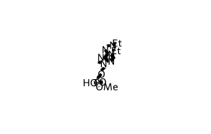 CCN(/C=N\c1ncnc2c1ncn2CCOCP(=O)(O)OC)CC